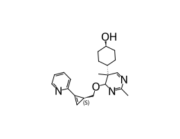 CC1=NC(OC[C@H]2C=C2c2ccccn2)C(C)([C@H]2CC[C@H](O)CC2)C=N1